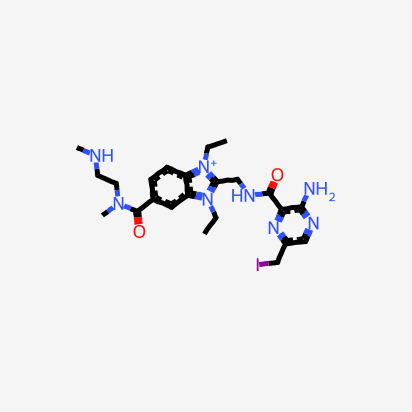 CCn1c(CNC(=O)c2nc(CI)cnc2N)[n+](CC)c2ccc(C(=O)N(C)CCNC)cc21